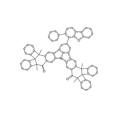 CC12C(=O)c3cc4c(cc3C3(C)c5ccccc5C13c1ccccc12)c1cc(-c2c(-c3ccccc3)ccc3c2oc2ccccc23)cc2c3cc5c(cc3n4c12)C(=O)C1(C)c2ccccc2C12c1ccccc1C52C